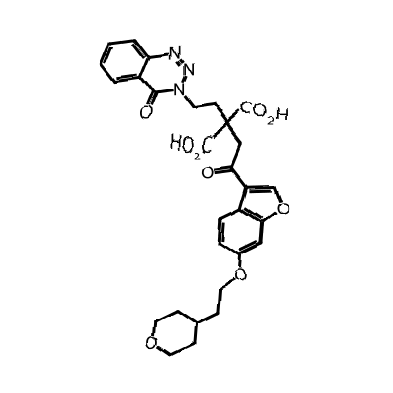 O=C(CC(CCn1nnc2ccccc2c1=O)(C(=O)O)C(=O)O)c1coc2cc(OCCC3CCOCC3)ccc12